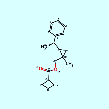 C[C@@H](c1ccccc1)C1CC1(C)COC(=O)C1CCC1